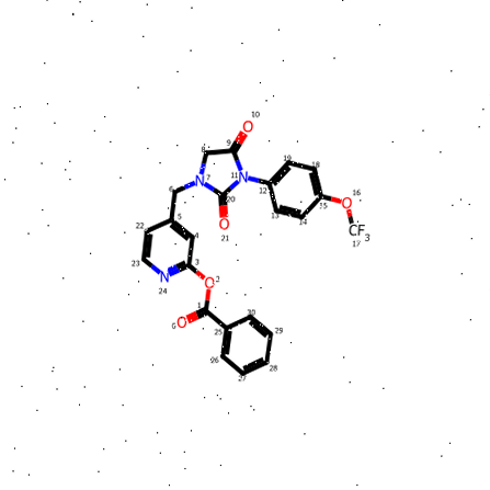 O=C(Oc1cc(CN2CC(=O)N(c3ccc(OC(F)(F)F)cc3)C2=O)ccn1)c1ccccc1